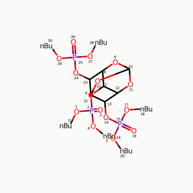 CCCCOP(=O)(OCCCC)OC1C2OC3OC1C(OP(=O)(OCCCC)OCCCC)C(O3)C2OP(=O)(OCCCC)OCCCC